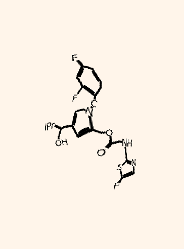 CC(C)C(O)c1cc(OC(=O)Nc2ncc(F)s2)n(Cc2ccc(F)cc2F)c1